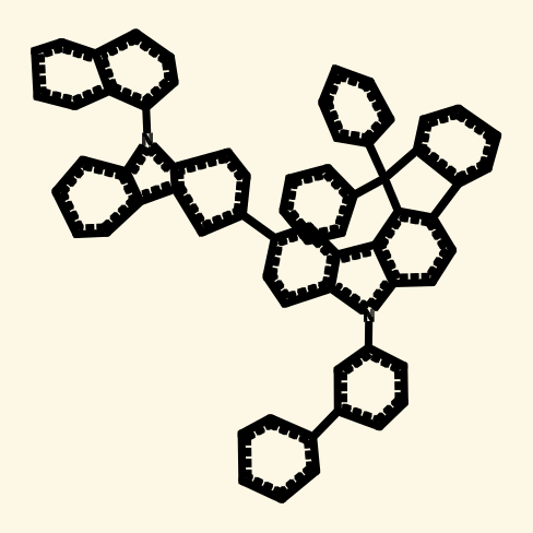 c1ccc(-c2cccc(-n3c4ccc(-c5ccc6c(c5)c5ccccc5n6-c5cccc6ccccc56)cc4c4c5c(ccc43)-c3ccccc3C5(c3ccccc3)c3ccccc3)c2)cc1